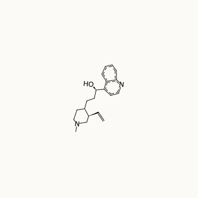 C=C[C@H]1CN(C)CCC1CC[C@@H](O)c1ccnc2ccccc12